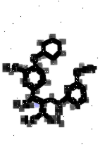 CCCOc1ccnc(NC/C(=C(/N)c2ccc(OC3CCCCC3)c(C)n2)N(C)N)n1